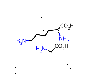 NCC(=O)O.NCCCC[C@H](N)C(=O)O